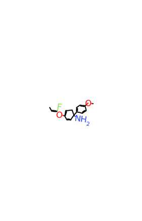 CC=C(F)OC1=CCC(N)(c2ccc(OC)cc2)C=C1